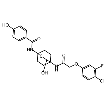 O=C(COc1ccc(Cl)c(F)c1)NC12CCC(NC(=O)c3ccc(O)nc3)(CC1)CC2O